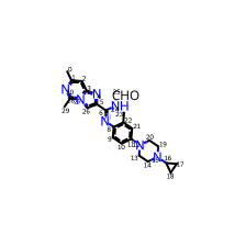 Cc1cc2nc(/C(=N/c3ccc(N4CCN(C5CC5)CC4)cc3C)NC=O)cn2c(C)n1